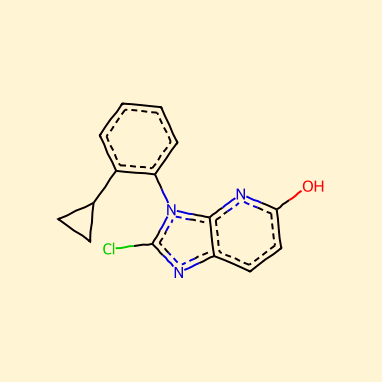 Oc1ccc2nc(Cl)n(-c3ccccc3C3CC3)c2n1